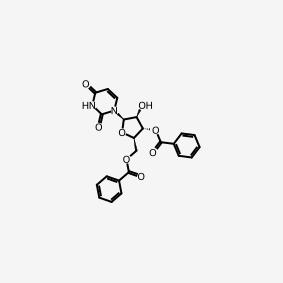 O=C(OC[C@H]1O[C@@H](n2ccc(=O)[nH]c2=O)[C@@H](O)[C@@H]1OC(=O)c1ccccc1)c1ccccc1